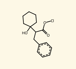 O=C(OCl)C(Cc1ccccc1)C1(O)CCCCC1